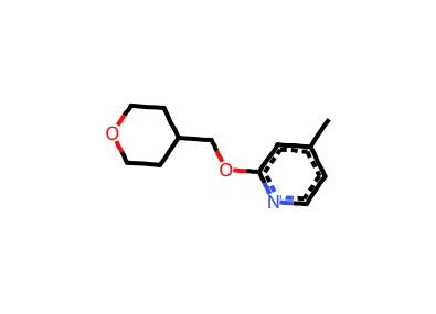 Cc1ccnc(OCC2CCOCC2)c1